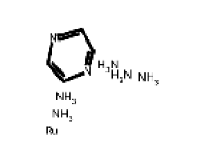 N.N.N.N.N.[Ru].c1cnccn1